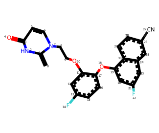 C=C1NC(=O)C=CN1CCOc1cc(F)ccc1Oc1cc(F)cc2cc(C#N)ccc12